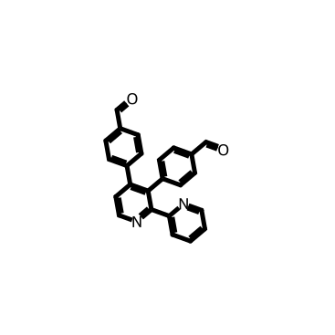 O=Cc1ccc(-c2ccnc(-c3ccccn3)c2-c2ccc(C=O)cc2)cc1